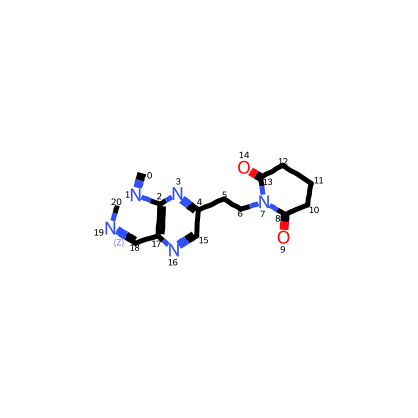 C=Nc1nc(CCN2C(=O)CCCC2=O)cnc1/C=N\C